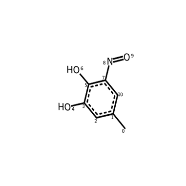 Cc1cc(O)c(O)c(N=O)c1